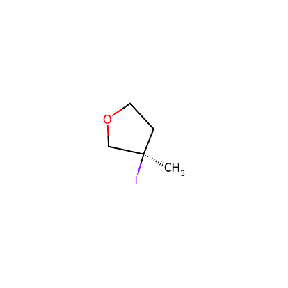 C[C@@]1(I)CCOC1